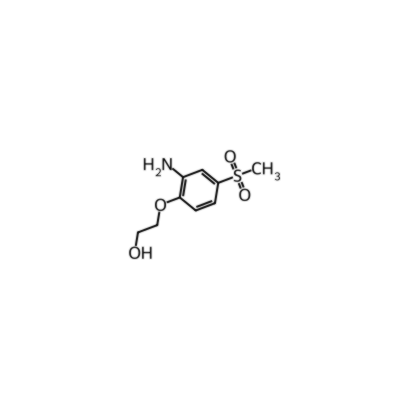 CS(=O)(=O)c1ccc(OCCO)c(N)c1